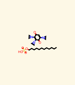 CCCCCCCCCCCCOS(=O)(=O)O.O=C1C=C(N2CC2)C(=O)C(N2CC2)=C1N1CC1